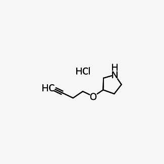 C#CCCOC1CCNC1.Cl